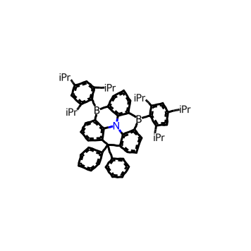 CC(C)c1cc(C(C)C)c(B2c3cccc4c3N3c5c2cccc5C(c2ccccc2)(c2ccccc2)c2cccc(c23)B4c2c(C(C)C)cc(C(C)C)cc2C(C)C)c(C(C)C)c1